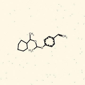 C=Cc1ccc(OC(C)OC(C)C2CCCCC2)cc1